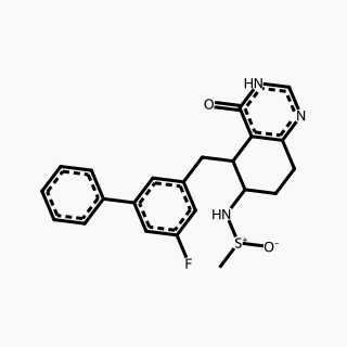 C[S+]([O-])NC1CCc2nc[nH]c(=O)c2C1Cc1cc(F)cc(-c2ccccc2)c1